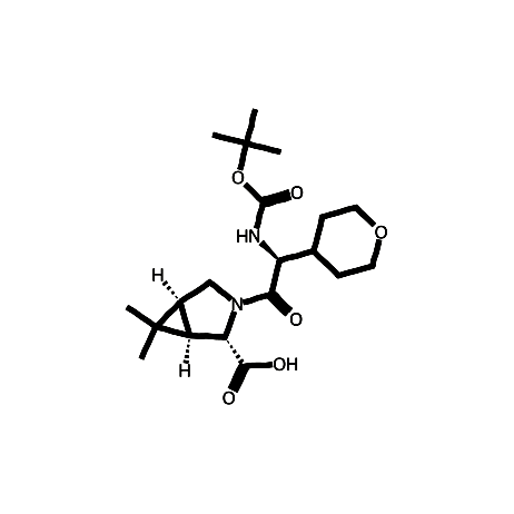 CC(C)(C)OC(=O)N[C@H](C(=O)N1C[C@H]2[C@@H]([C@H]1C(=O)O)C2(C)C)C1CCOCC1